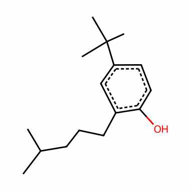 CC(C)CCCc1cc(C(C)(C)C)ccc1O